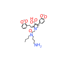 CCCCN(CCCCN)C(=O)CN1C[C@H](c2ccc3c(c2)OCO3)[C@@H](C(=O)O)[C@@H]1CCc1cccc2c1OCO2